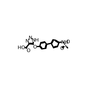 CS(=O)(=O)Nc1ccc(-c2ccc(Oc3[nH]nnc3C(=O)O)cc2)cc1